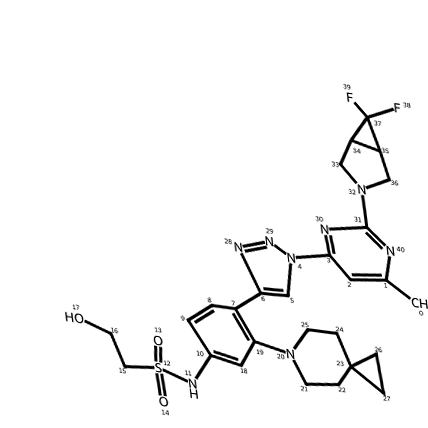 Cc1cc(-n2cc(-c3ccc(NS(=O)(=O)CCO)cc3N3CCC4(CC3)CC4)nn2)nc(N2CC3C(C2)C3(F)F)n1